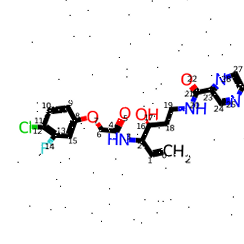 C=CC(NC(=O)COc1ccc(Cl)c(F)c1)[C@@H](O)CCNC(=O)c1cnccn1